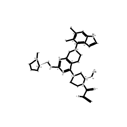 C=C(F)C(=O)N1CCN(c2nc(OC[C@@H]3CCCN3C)nc3c2CCN(c2c(C)c(C)cc4[nH]ccc24)C3)C[C@@H]1CC#N